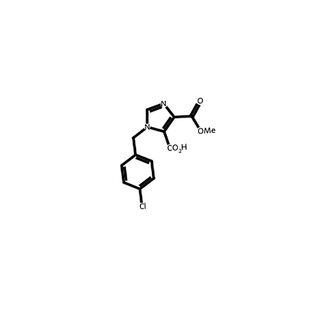 COC(=O)c1ncn(Cc2ccc(Cl)cc2)c1C(=O)O